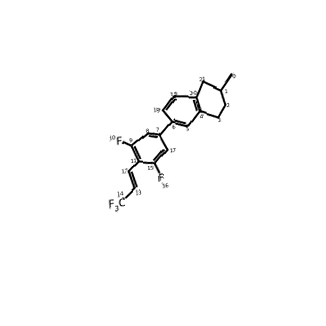 CC1CCc2cc(-c3cc(F)c(/C=C/C(F)(F)F)c(F)c3)ccc2C1